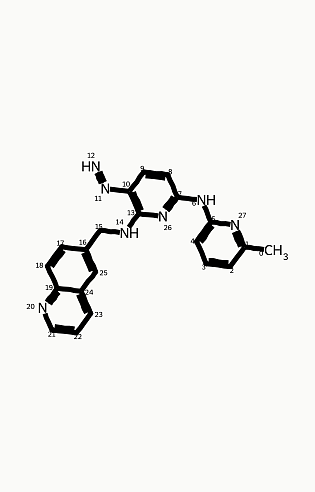 Cc1cccc(Nc2ccc(N=N)c(NCc3ccc4ncccc4c3)n2)n1